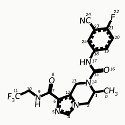 CC1Cn2cnc(C(=O)NCC(F)(F)F)c2CN1C(=O)Nc1ccc(F)c(C#N)c1